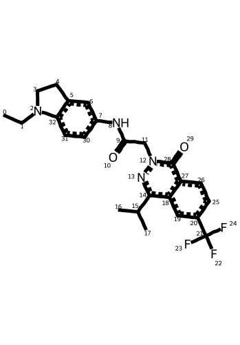 CCN1CCc2cc(NC(=O)Cn3nc(C(C)C)c4cc(C(F)(F)F)ccc4c3=O)ccc21